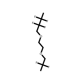 CC(F)(F)COCCOCC(F)(F)C(C)(F)F